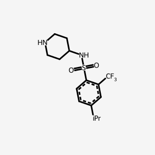 CC(C)c1ccc(S(=O)(=O)NC2CCNCC2)c(C(F)(F)F)c1